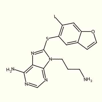 NCCCn1c(Sc2cc3ccoc3cc2I)nc2c(N)ncnc21